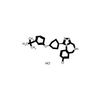 CC(C)(C)c1cccc(O[C@H]2CC[C@H](c3nnc4n3-c3ccc(Cl)cc3CNC4)CC2)c1.Cl